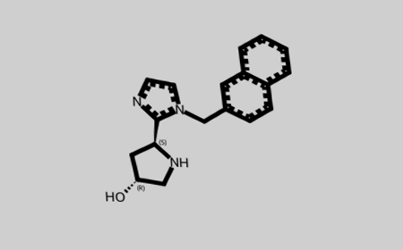 O[C@H]1CN[C@H](c2nccn2Cc2ccc3ccccc3c2)C1